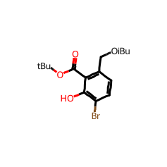 CC(C)COCc1ccc(Br)c(O)c1C(=O)OC(C)(C)C